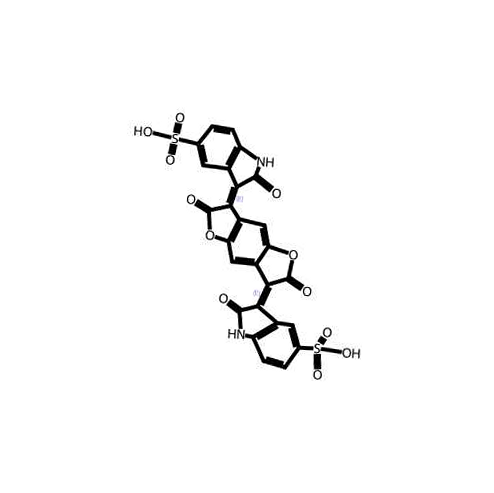 O=C1Nc2ccc(S(=O)(=O)O)cc2/C1=C1\C(=O)Oc2cc3c(cc21)OC(=O)/C3=C1/C(=O)Nc2ccc(S(=O)(=O)O)cc21